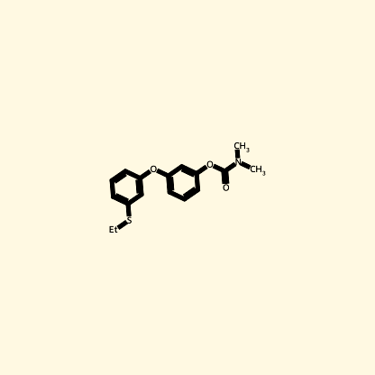 CCSc1cccc(Oc2cccc(OC(=O)N(C)C)c2)c1